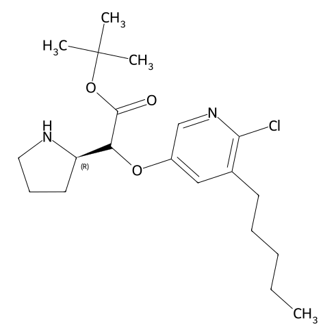 CCCCCc1cc(OC(C(=O)OC(C)(C)C)[C@H]2CCCN2)cnc1Cl